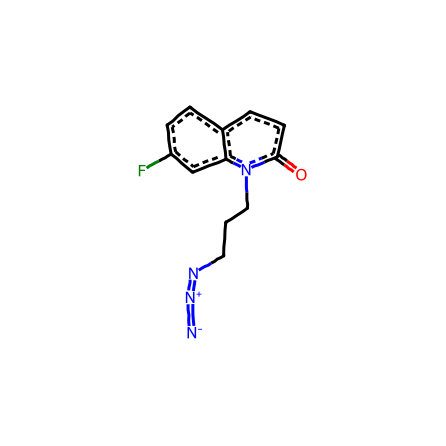 [N-]=[N+]=NCCCn1c(=O)ccc2ccc(F)cc21